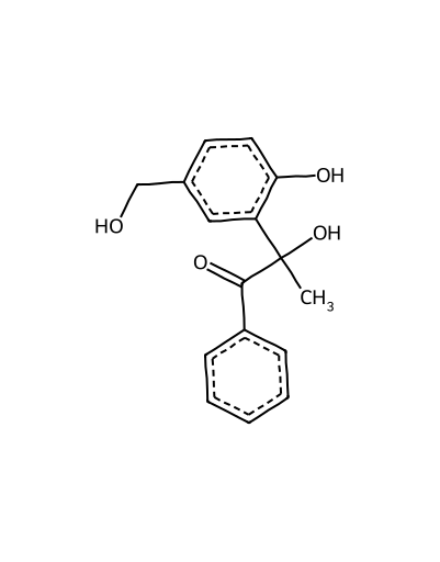 CC(O)(C(=O)c1ccccc1)c1cc(CO)ccc1O